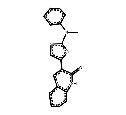 CN(c1ccccc1)c1nc(-c2cc3ccccc3[nH]c2=O)cs1